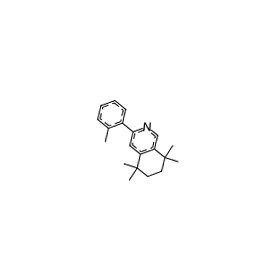 Cc1ccccc1-c1cc2c(cn1)C(C)(C)CCC2(C)C